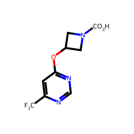 O=C(O)N1CC(Oc2cc(C(F)(F)F)ncn2)C1